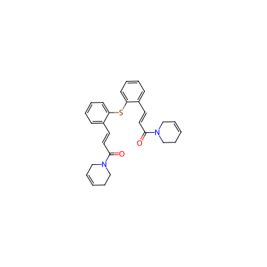 O=C(C=Cc1ccccc1Sc1ccccc1C=CC(=O)N1CC=CCC1)N1CC=CCC1